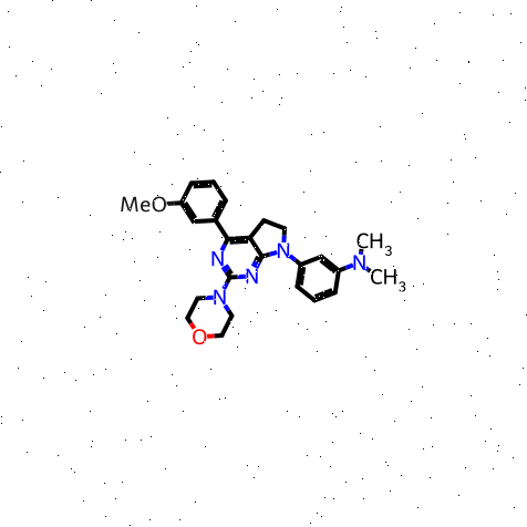 COc1cccc(-c2nc(N3CCOCC3)nc3c2CCN3c2cccc(N(C)C)c2)c1